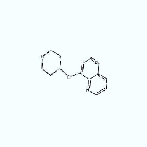 c1cnc2c(OC3CC[N]CC3)cccc2c1